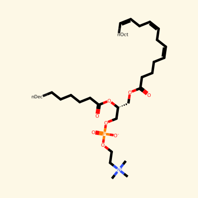 CCCCCCCC/C=C\C/C=C\C/C=C\CCCC(=O)OC[C@H](COP(=O)([O-])OCC[N+](C)(C)C)OC(=O)CCCCCCCCCCCCCCC